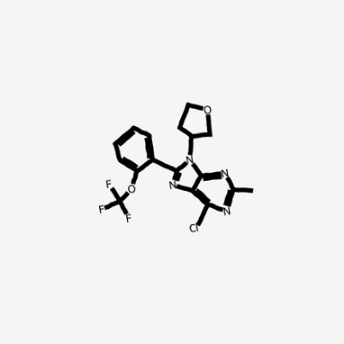 Cc1nc(Cl)c2nc(-c3ccccc3OC(F)(F)F)n(C3CCOC3)c2n1